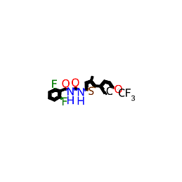 Cc1cc(NC(=O)NC(=O)c2c(F)cccc2F)sc1-c1ccc(OC(F)(F)F)cc1